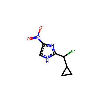 O=[N+]([O-])c1c[nH]c(C(Br)C2CC2)n1